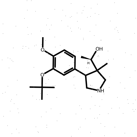 COc1ccc(C2CNCC2(C)[C@@H](C)O)cc1OC(C)(C)C